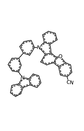 N#Cc1ccc2oc3c(ccc4c3c3ccccc3n4-c3cccc(-c4cccc(-n5c6ccccc6c6ccccc65)c4)c3)c2c1